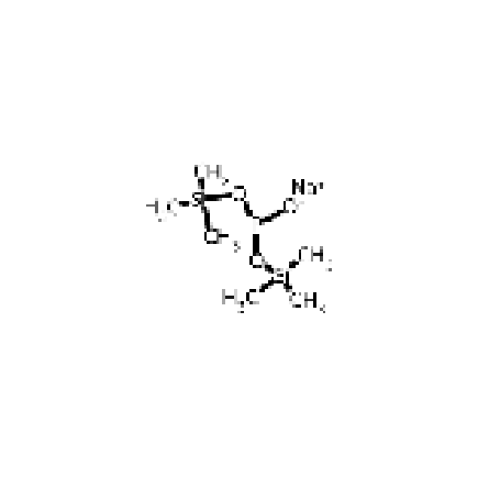 C[Si](C)(C)OP([O-])O[Si](C)(C)C.[Na+]